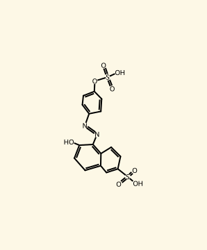 O=S(=O)(O)Oc1ccc(/N=N/c2c(O)ccc3cc(S(=O)(=O)O)ccc23)cc1